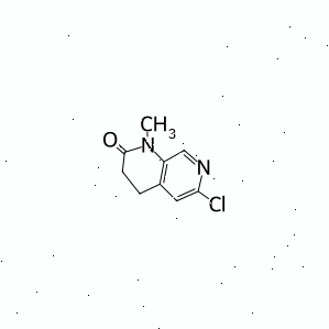 CN1C(=O)CCc2cc(Cl)ncc21